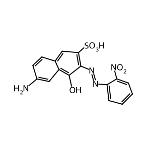 Nc1ccc2cc(S(=O)(=O)O)c(N=Nc3ccccc3[N+](=O)[O-])c(O)c2c1